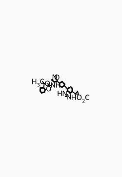 CC(OC(=O)Nc1cnoc1-c1ccc(-c2ccc(C3(C(=O)O)CC3)c3nc[nH]c23)cc1)c1ccccc1